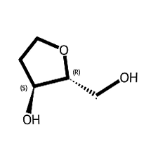 O[CH][C@H]1OCC[C@@H]1O